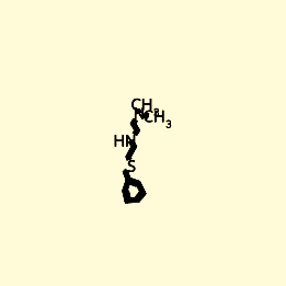 CN(C)CCNCCSCc1ccccc1